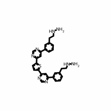 NNCCc1cccc(-c2cc(-c3ccc(-c4cc(-c5cccc(CCNN)c5)ncn4)s3)ncn2)c1